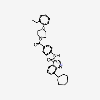 C/C=N\c1c(C2CCCCCC2)cccc1S(=O)(=O)Nc1ccc(C(=O)N2CCN(c3ccccc3CC)CC2)cc1